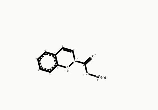 CCCCCOC(=S)N1C=Cc2ccccc2S1